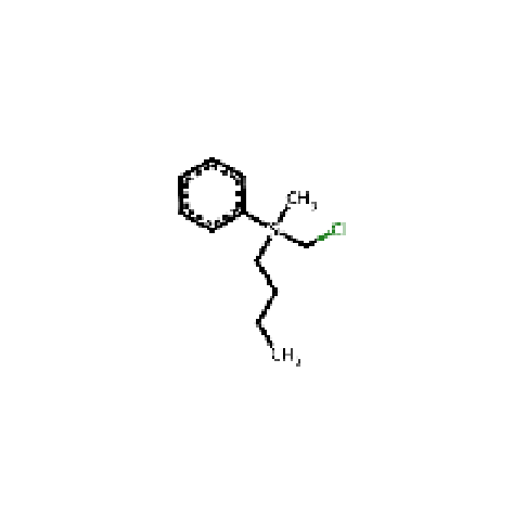 CCCC[Si](C)(CCl)c1ccccc1